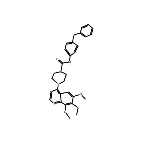 COc1cc2c(N3CCN(C(=O)Nc4ccc(Oc5ccccc5)cc4)CC3)ncnc2c(OC)c1OC